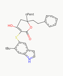 CCCCCC1(CCc2ccccc2)CC(O)=C(Sc2cc3cc[nH]c3cc2C(C)(C)C)C(=O)O1